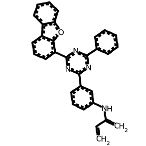 C=CC(=C)Nc1cccc(-c2nc(-c3ccccc3)nc(-c3cccc4c3oc3ccccc34)n2)c1